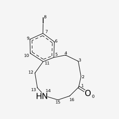 O=C1CCCc2cc(I)ccc2CCNCC1